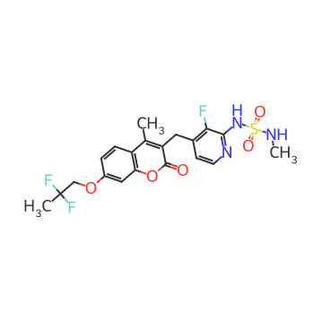 CNS(=O)(=O)Nc1nccc(Cc2c(C)c3ccc(OCC(C)(F)F)cc3oc2=O)c1F